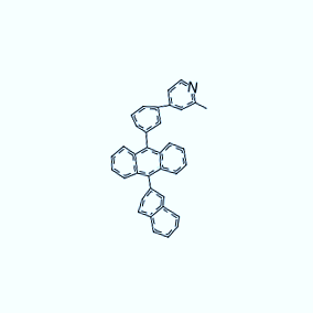 Cc1cc(-c2cccc(-c3c4ccccc4c(-c4ccc5ccccc5c4)c4ccccc34)c2)ccn1